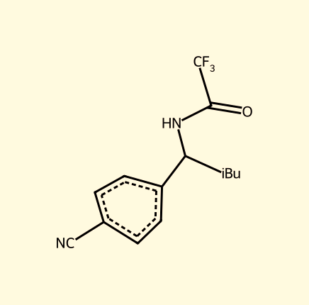 CCC(C)C(NC(=O)C(F)(F)F)c1ccc(C#N)cc1